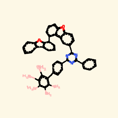 Bc1c(B)c(B)c(-c2ccc(-c3nc(-c4ccccc4)nc(-c4ccc5oc6cccc(-c7cccc8c7oc7ccccc78)c6c5c4)n3)cc2)c(B)c1B